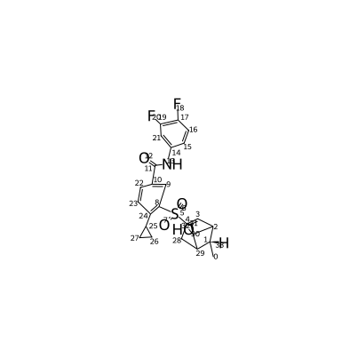 C[C@H]1C2C=C(S(=O)(=O)c3cc(C(=O)Nc4ccc(F)c(F)c4)ccc3C3CC3)CC1[C@]2(C)O